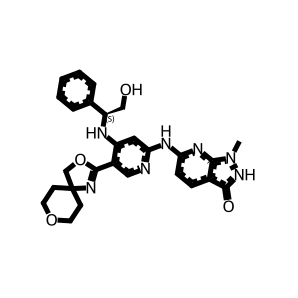 Cn1[nH]c(=O)c2ccc(Nc3cc(N[C@H](CO)c4ccccc4)c(C4=NC5(CCOCC5)CO4)cn3)nc21